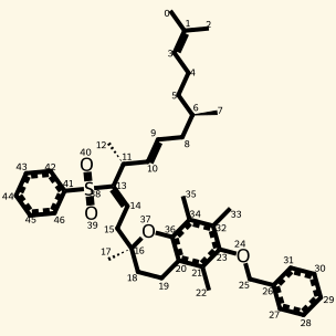 CC(C)=CCC[C@@H](C)C/C=C/[C@@H](C)C(=CC[C@]1(C)CCc2c(C)c(OCc3ccccc3)c(C)c(C)c2O1)S(=O)(=O)c1ccccc1